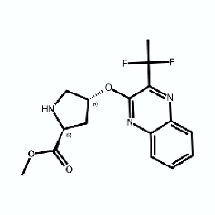 COC(=O)[C@@H]1C[C@@H](Oc2nc3ccccc3nc2C(C)(F)F)CN1